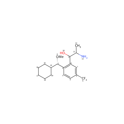 CO[C@H](c1ccc(C(F)(F)F)cc1C(O)C(C)N)C1CCCCC1